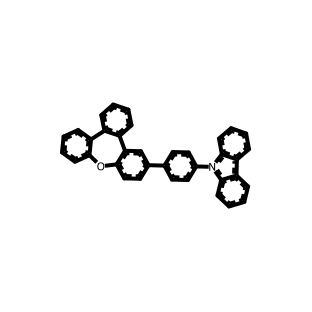 c1ccc2c(c1)Oc1ccc(-c3ccc(-n4c5ccccc5c5ccccc54)cc3)cc1-c1ccccc1-2